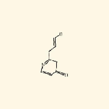 O=C1C=CN=C(CC=CCl)C1